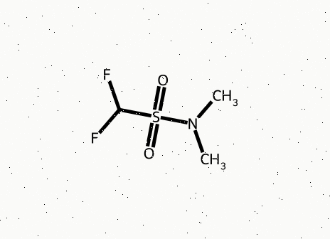 CN(C)S(=O)(=O)[C](F)F